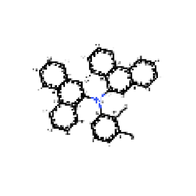 Cc1cccc(N(c2cc3ccccc3c3ccccc23)c2cc3ccccc3c3ccccc23)c1C